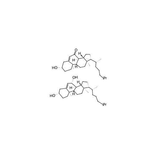 CC(C)CCC[C@@H](C)[C@H]1CC[C@H]2[C@@H]3C(=O)C=C4C[C@@H](O)CC[C@]4(C)[C@H]3CC[C@]12C.CC(C)CCC[C@@H](C)[C@H]1CC[C@H]2[C@@H]3[C@@H](O)C=C4C[C@@H](O)CC[C@]4(C)[C@H]3CC[C@]12C